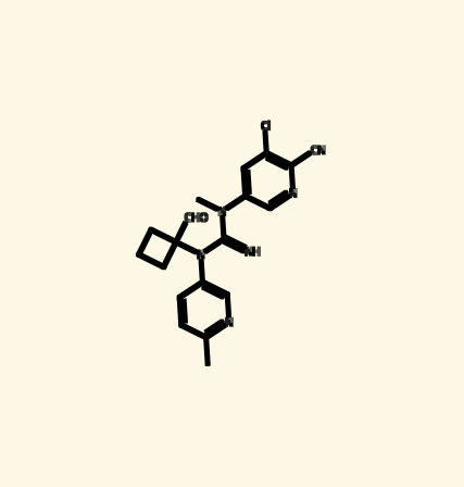 Cc1ccc(N(C(=N)N(C)c2cnc(C#N)c(Cl)c2)C2(C=O)CCC2)cn1